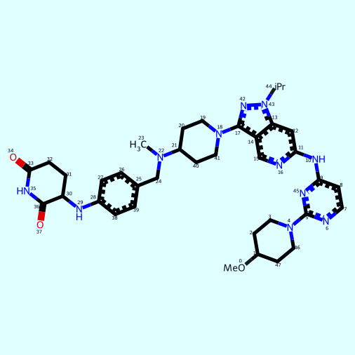 COC1CCN(c2nccc(Nc3cc4c(cn3)c(N3CCC(N(C)Cc5ccc(NC6CCC(=O)NC6=O)cc5)CC3)nn4C(C)C)n2)CC1